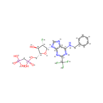 O=P(O)(O)CP(=O)(O)OC[C@H]1O[C@@H](n2cnc3c(NCc4ccccc4)nc(C(F)(F)F)nc32)[C@@H](F)[C@@H]1O